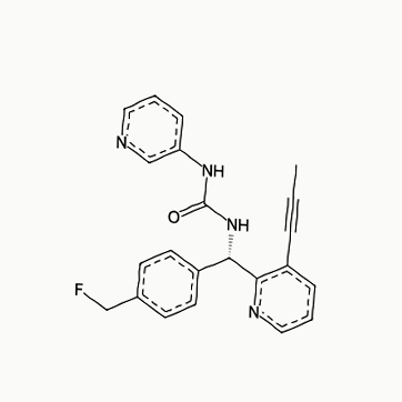 CC#Cc1cccnc1[C@@H](NC(=O)Nc1cccnc1)c1ccc(CF)cc1